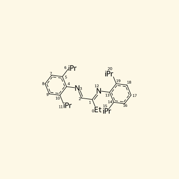 CCC(C=Nc1c(C(C)C)cccc1C(C)C)=Nc1c(C(C)C)cccc1C(C)C